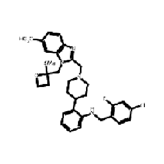 CSC1(Cn2c(CN3CCC(c4ccccc4NCc4ccc(Cl)cc4F)CC3)nc3ccc(C(=O)O)cc32)CCO1